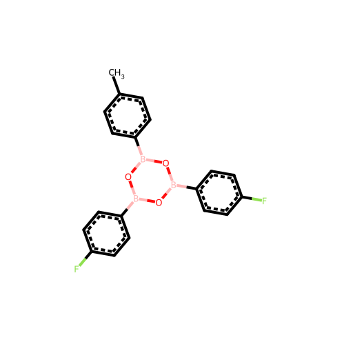 Cc1ccc(B2OB(c3ccc(F)cc3)OB(c3ccc(F)cc3)O2)cc1